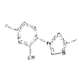 Cc1cn(-c2ccc(F)cc2C#N)cn1